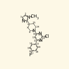 Cn1ccnc1C1CCN(c2cc(-c3ccc(F)cc3)nc(Cl)n2)CC1